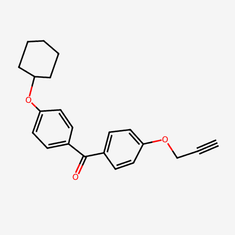 C#CCOc1ccc(C(=O)c2ccc(OC3CCCCC3)cc2)cc1